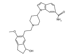 COc1cc2c(cc1CCN1CCC(n3ccc4ccc(C(N)=O)cc43)CC1)C(O)CC2